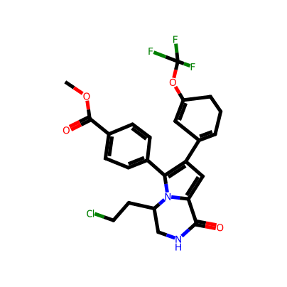 COC(=O)c1ccc(-c2c(C3=CCCC(OC(F)(F)F)=C3)cc3n2C(CCCl)CNC3=O)cc1